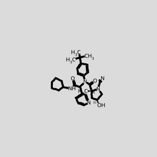 CC(C)(C)c1ccc(N(C(=O)[C@@]2(C)C[C@H](O)CN2C#N)C(C(=O)NC2CCCCC2)c2cccnc2)cc1